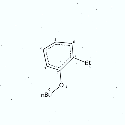 CCCCOc1c[c]ccc1CC